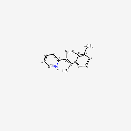 Cc1cccc2c(C)c(-c3ccccn3)ccc12